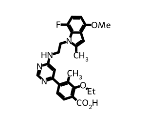 CCOc1c(C(=O)O)ccc(-c2cc(NCCn3c(C)cc4c(OC)ccc(F)c43)ncn2)c1C